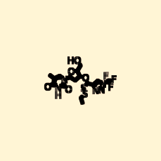 CCSSC(OC1CC(n2cc(C)c(=O)[nH]c2=O)OC1CO)c1cn(C(F)(F)F)nn1